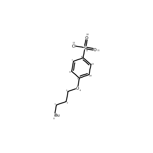 CCC(C)CCCOc1ccc(S(=O)(=O)Cl)cc1